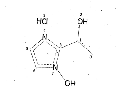 CC(O)c1nccn1O.Cl